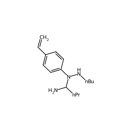 C=Cc1ccc(N(NCCCC)C(N)CCC)cc1